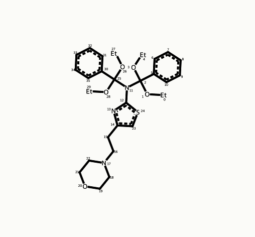 CCOC(OCC)(c1ccccc1)N(c1nc(CCN2CCOCC2)cs1)C(OCC)(OCC)c1ccccc1